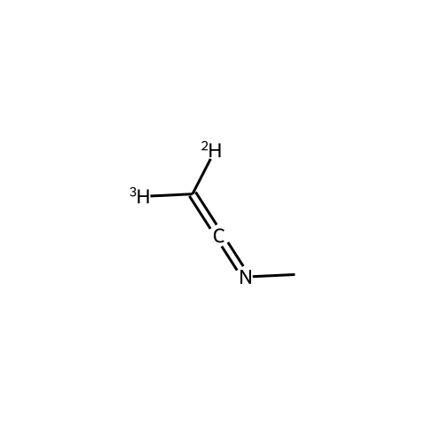 [2H]C([3H])=C=NC